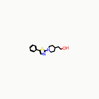 OCCC1CCN(c2ncc(-c3ccccc3)s2)CC1